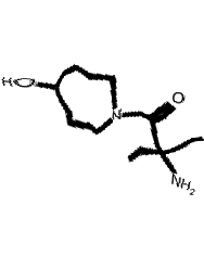 CC(C)(N)C(=O)N1CCC(O)CC1